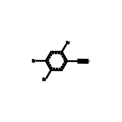 [C]#Cc1cc(Br)c(Br)cc1Br